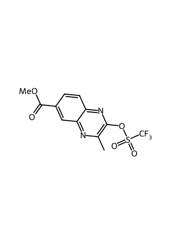 COC(=O)c1ccc2nc(OS(=O)(=O)C(F)(F)F)c(C)nc2c1